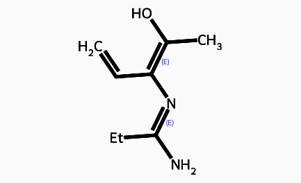 C=CC(/N=C(/N)CC)=C(/C)O